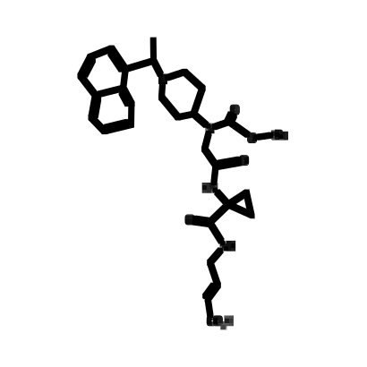 CC(c1cccc2ccccc12)N1CCC(N(CC(=O)NC2(C(=O)NC/C=C/C(=O)O)CC2)C(=O)OC(C)(C)C)CC1